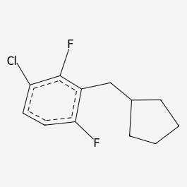 Fc1ccc(Cl)c(F)c1CC1CCCC1